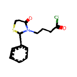 O=C(Cl)CCCN1C(=O)CSC1c1ccccc1